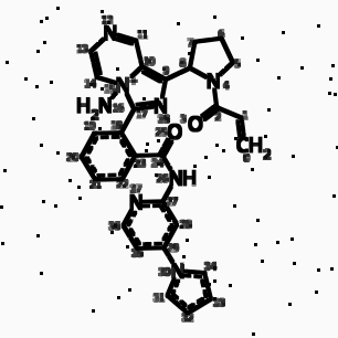 C=CC(=O)N1CCCC1C1=C2C=NC=C[N+]2(N)C(c2ccccc2C(=O)Nc2cc(-n3cccc3)ccn2)=N1